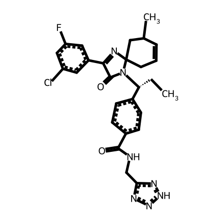 CC[C@H](c1ccc(C(=O)NCc2nn[nH]n2)cc1)N1C(=O)C(c2cc(F)cc(Cl)c2)=NC12CC=CC(C)C2